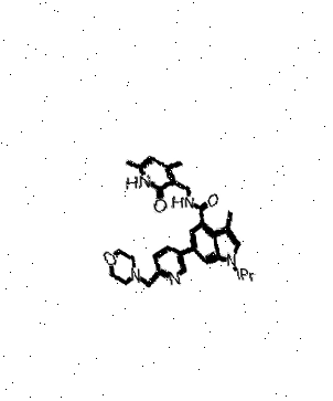 Cc1cc(C)c(CNC(=O)c2cc(-c3ccc(CN4CCOCC4)nc3)cc3c2c(C)cn3C(C)C)c(=O)[nH]1